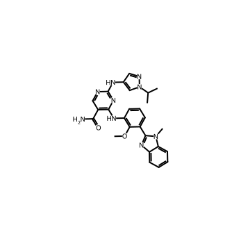 COc1c(Nc2nc(Nc3cnn(C(C)C)c3)ncc2C(N)=O)cccc1-c1nc2ccccc2n1C